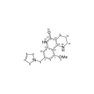 COc1cc(CN2CC=CC2)cc2[nH]c(=O)c3c(c12)NCCC3